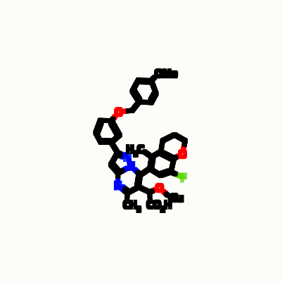 COc1ccc(COc2cccc(-c3cc4nc(C)c(C(OC(C)(C)C)C(=O)O)c(-c5cc(F)c6c(c5C)CCCO6)n4n3)c2)cc1